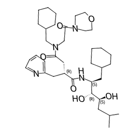 CC(C)C[C@H](O)[C@H](O)[C@H](CC1CCCCC1)NC(=O)[C@@H](CC(=O)N(CC(=O)N1CCOCC1)CC1CCCCC1)Cc1ccccn1